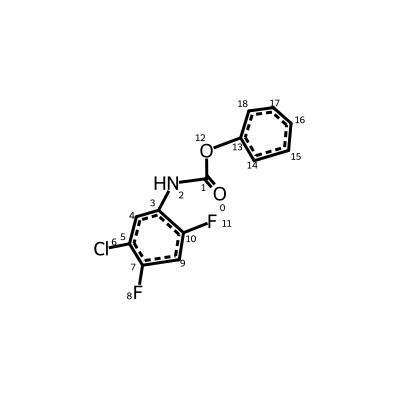 O=C(Nc1cc(Cl)c(F)cc1F)Oc1ccccc1